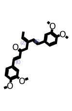 C/C=C(\C=C\c1ccc(OC)c(OC)c1)CC(=O)/C=C/c1ccc(OC)c(OC)c1